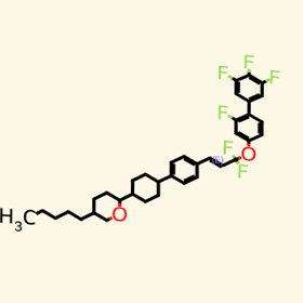 CCCCCC1CCC(C2CCC(c3ccc(/C=C/C(F)(F)Oc4ccc(-c5cc(F)c(F)c(F)c5)c(F)c4)cc3)CC2)OC1